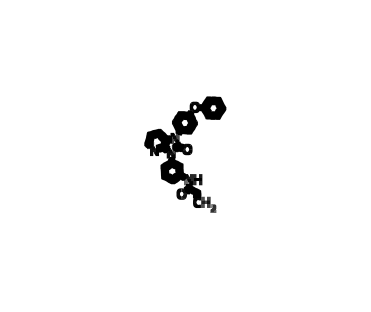 C=CC(=O)Nc1cccc(-n2c(=O)n(-c3ccc(Oc4ccccc4)cc3)c3cccnc32)c1